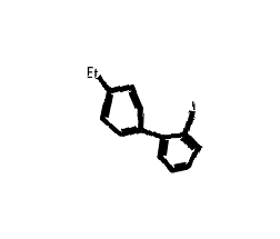 CCc1ccc(-c2ccccc2I)cc1